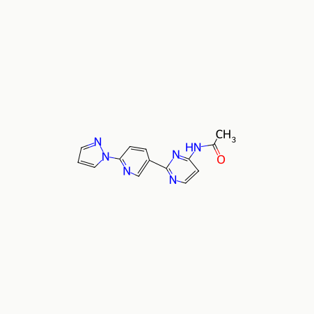 CC(=O)Nc1ccnc(-c2ccc(-n3cccn3)nc2)n1